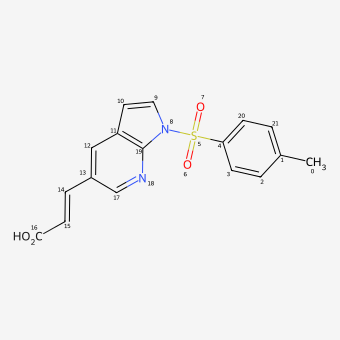 Cc1ccc(S(=O)(=O)n2ccc3cc(/C=C/C(=O)O)cnc32)cc1